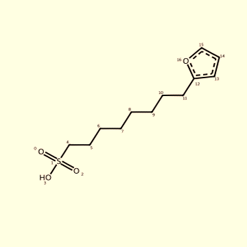 O=S(=O)(O)CCCCCCCCc1ccco1